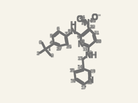 CC(C)(C)c1ccc(Nc2nc(NCc3cccnc3)ccc2[N+](=O)[O-])cc1